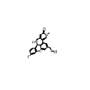 CCSCc1ccc2c(c1)-c1cn(C)c(=O)cc1CNC2c1ccc(F)cc1Cl